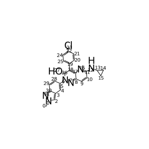 Cn1cc2cc(N3N=c4ccc(NC5CC5)nc4=C(c4ccc(Cl)cc4)C3O)ccc2n1